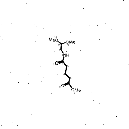 COC(=O)CCCC(=O)NCC(OC)OC